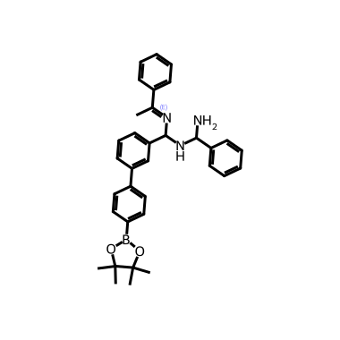 C/C(=N\C(NC(N)c1ccccc1)c1cccc(-c2ccc(B3OC(C)(C)C(C)(C)O3)cc2)c1)c1ccccc1